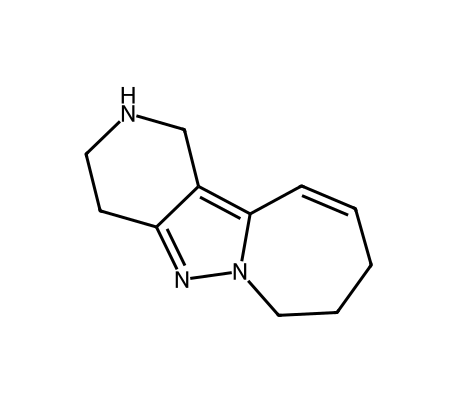 C1=Cc2c3c(nn2CCC1)CCNC3